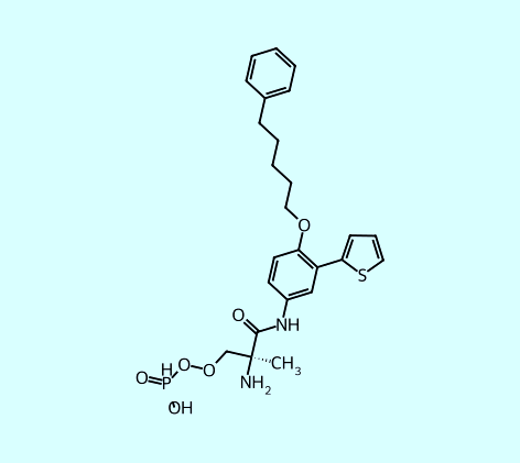 C[C@](N)(COO[PH](=O)O)C(=O)Nc1ccc(OCCCCCc2ccccc2)c(-c2cccs2)c1